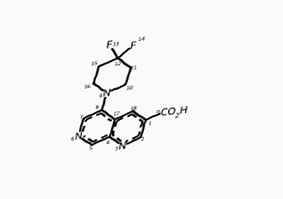 O=C(O)c1cnc2cncc(N3CCC(F)(F)CC3)c2c1